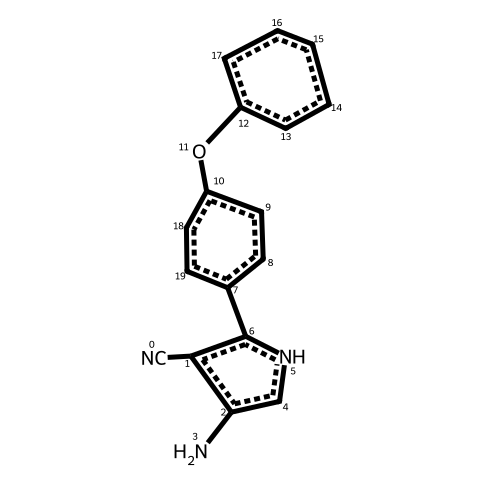 N#Cc1c(N)c[nH]c1-c1ccc(Oc2ccccc2)cc1